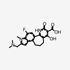 CN(C)Cc1cc2c3c(cc(F)c2n1C)-c1[nH]c(=O)c(C(=O)O)c(O)c1CCC3